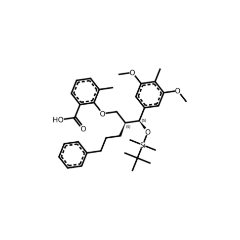 COc1cc([C@@H](O[Si](C)(C)C(C)(C)C)[C@@H](CCCc2ccccc2)COc2c(C)cccc2C(=O)O)cc(OC)c1C